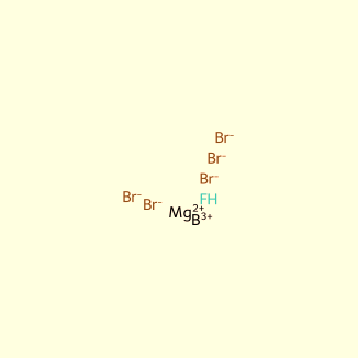 F.[B+3].[Br-].[Br-].[Br-].[Br-].[Br-].[Mg+2]